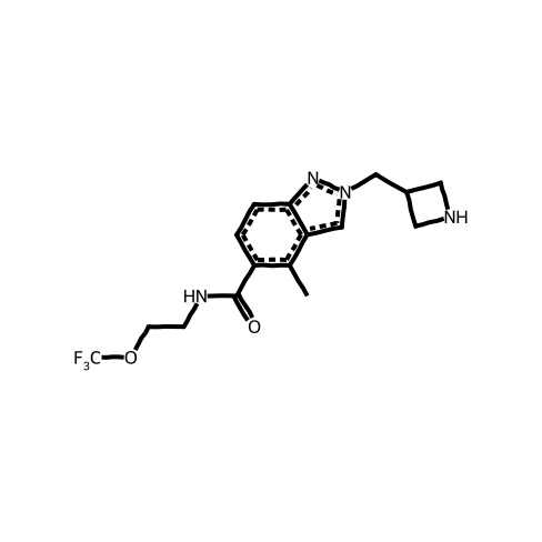 Cc1c(C(=O)NCCOC(F)(F)F)ccc2nn(CC3CNC3)cc12